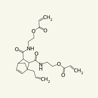 C=CCC12C=CC(C1)C(C(=O)NCCOC(=O)C=C)C2C(=O)NCCOC(=O)C=C